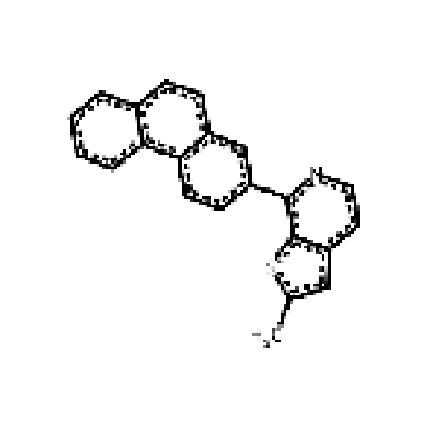 Cc1cc2ccnc(-c3ccc4c(ccc5ccccc54)c3)c2s1